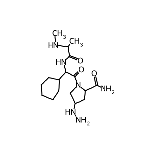 CNC(C)C(=O)NC(C(=O)N1CC(NN)CC1C(N)=O)C1CCCCC1